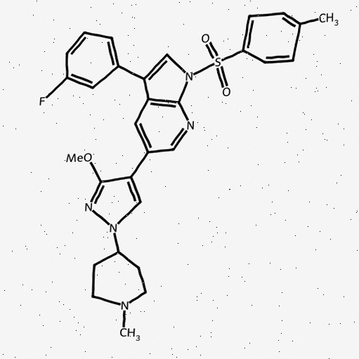 COc1nn(C2CCN(C)CC2)cc1-c1cnc2c(c1)c(-c1cccc(F)c1)cn2S(=O)(=O)c1ccc(C)cc1